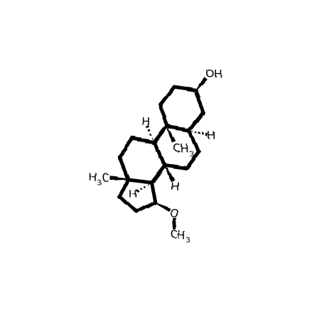 CO[C@H]1CC[C@]2(C)CC[C@@H]3[C@H](CC[C@@H]4C[C@H](O)CC[C@]43C)[C@@H]12